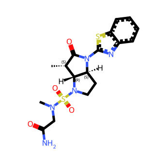 C[C@@H]1C(=O)N(c2nc3ccccc3s2)[C@H]2CCN(S(=O)(=O)N(C)CC(N)=O)[C@H]12